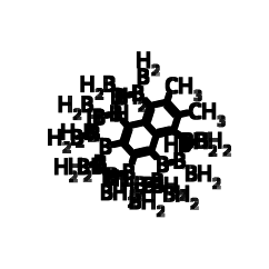 BBB(B)B(B(B)B)c1c(B(B(B)B)B(B)B)c(B(BB)B(B)B)c(B(B)B(B)B)c2c(B(B)BB)c(C)c(C)c(B)c12